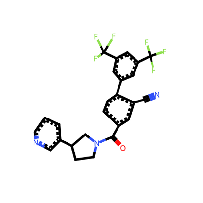 N#Cc1cc(C(=O)N2CCC(c3cccnc3)C2)ccc1-c1cc(C(F)(F)F)cc(C(F)(F)F)c1